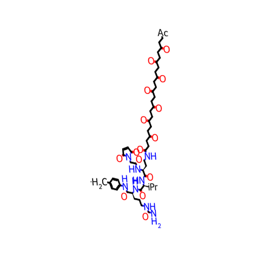 [CH2]c1ccc(NC(=O)[C@H](CCCNC(N)=O)NC(=O)[C@@H](NC(=O)[C@H](CCNC(=O)CCC(=O)CCC(=O)CCC(=O)CCC(=O)CCC(=O)CCC(=O)CCC(=O)CCC(C)=O)NC(=O)CN2C(=O)C=CC2=O)C(C)C)cc1